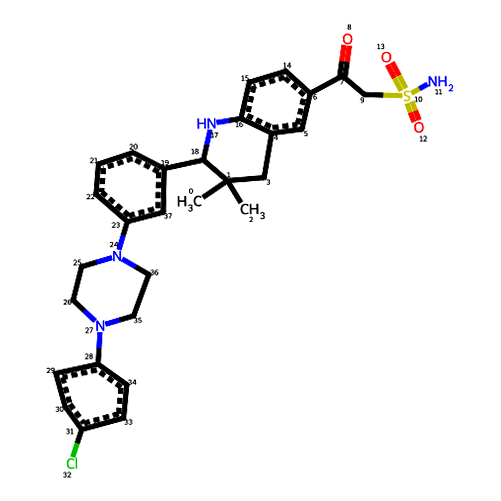 CC1(C)Cc2cc(C(=O)CS(N)(=O)=O)ccc2NC1c1cccc(N2CCN(c3ccc(Cl)cc3)CC2)c1